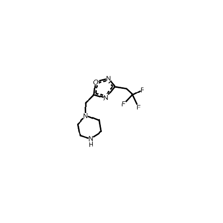 FC(F)(F)Cc1noc(CN2CCNCC2)n1